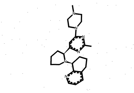 Cc1nc([C@@H]2CCCCN2[C@H]2CCCc3cccnc32)cc(N2CCN(C)CC2)n1